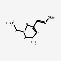 CON=CC1=CCCN(CC(=O)O)C1.Cl